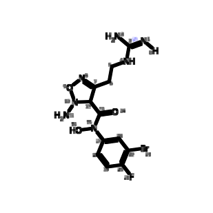 [H]/N=C(/N)NCCC1=NON(N)C1C(=O)N(O)c1ccc(F)c(Br)c1